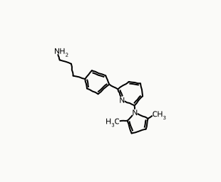 Cc1ccc(C)n1-c1cccc(-c2ccc(CCCN)cc2)n1